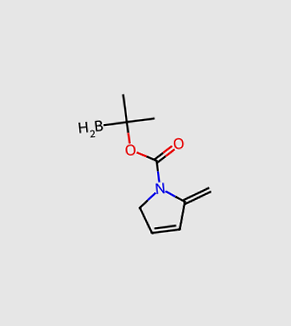 BC(C)(C)OC(=O)N1CC=CC1=C